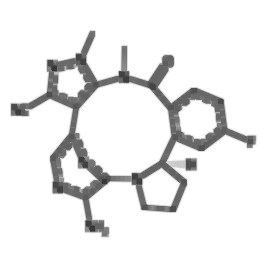 CN1C(=O)c2ccc(F)cc2[C@H]2CCCN2c2nc(cnc2N)-c2c(C#N)nn(C)c21